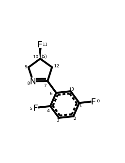 Fc1ccc(F)c(C2=NC[C@@H](F)C2)c1